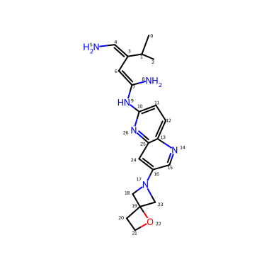 CC(C)C(=C/N)/C=C(\N)Nc1ccc2ncc(N3CC4(CCO4)C3)cc2n1